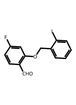 O=Cc1ccc(F)cc1OCc1ccccc1I